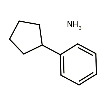 N.c1ccc(C2CCCC2)cc1